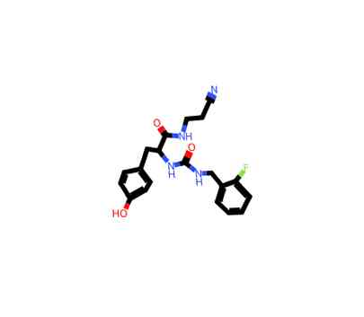 N#CCCNC(=O)C(Cc1ccc(O)cc1)NC(=O)NCc1ccccc1F